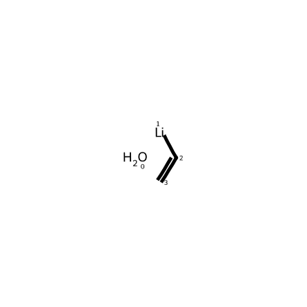 O.[Li][CH]=C